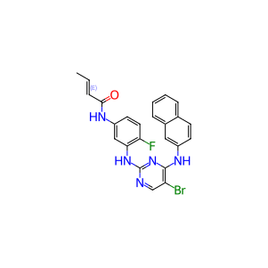 C/C=C/C(=O)Nc1ccc(F)c(Nc2ncc(Br)c(Nc3ccc4ccccc4c3)n2)c1